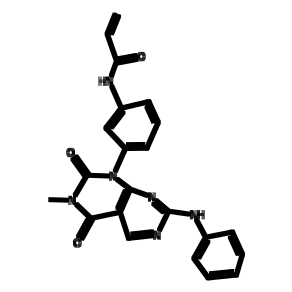 C=CC(=O)Nc1cccc(-n2c(=O)n(C)c(=O)c3cnc(Nc4ccccc4)nc32)c1